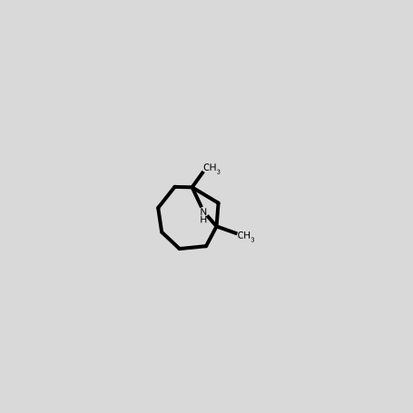 CC12CCCCCC(C)(C1)N2